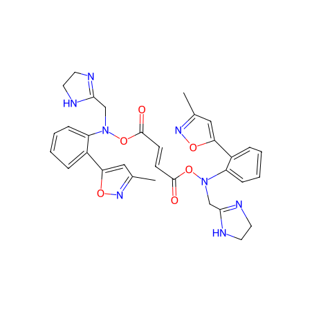 Cc1cc(-c2ccccc2N(CC2=NCCN2)OC(=O)/C=C/C(=O)ON(CC2=NCCN2)c2ccccc2-c2cc(C)no2)on1